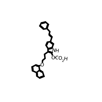 O=C(O)Oc1[nH]c2cc(/C=C/Cc3ccccc3)ccc2c1CCCOc1cccc2ccccc12